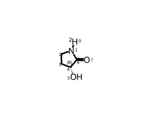 [2H]N1CC[C@@H](O)C1=O